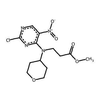 COC(=O)CCN(c1nc(Cl)ncc1[N+](=O)[O-])C1CCOCC1